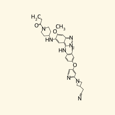 C=CC(=O)N1CCC(Nc2cc3c(Nc4ccc(Oc5ccnc(N6CC(CC#N)C6)c5)cc4F)ncnc3cc2OC)CC1